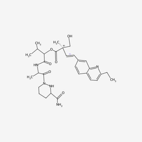 CCc1ccc2ccc(/C=C/[C@](C)(CO)C(=O)OC(C(=O)NC(C)C(=O)N3CCCC(C(N)=O)N3)C(C)C)cc2n1